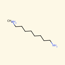 C.NCCCCCCCCN